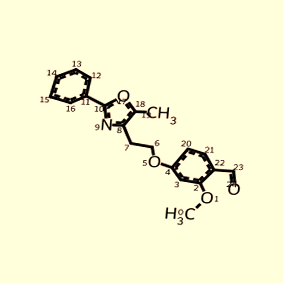 COc1cc(OCCc2nc(-c3ccccc3)oc2C)ccc1C=O